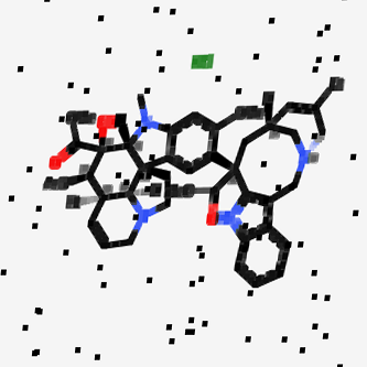 CCC1=C[C@@H]2C[N@](C1)Cc1c([nH]c3ccccc13)[C@@](C(=O)OC)(c1cc3c(cc1OC)N(C)[C@H]1[C@@](O)(C(=O)OC)[C@H](OC(C)=O)[C@]4(CC)C=CCN5CC[C@]31[C@@H]54)C2.Cl